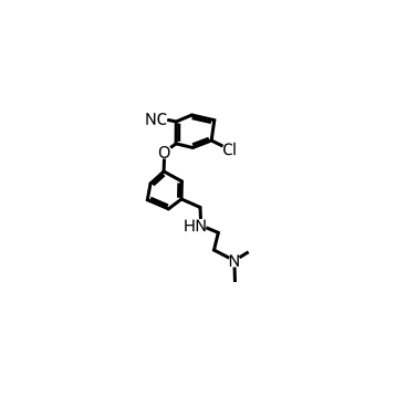 CN(C)CCNCc1cccc(Oc2cc(Cl)ccc2C#N)c1